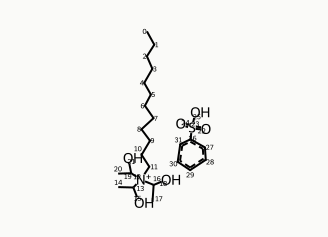 CCCCCCCCCCCC[N+](C(C)O)(C(C)O)C(C)O.O=S(=O)(O)c1ccccc1